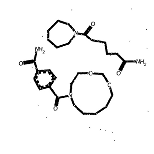 NC(=O)CCCCC(=O)N1CCCCCC1.NC(=O)c1ccc(C(=O)N2CCCCCCCCCC2)cc1